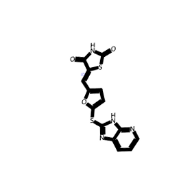 O=C1NC(=O)/C(=C/c2ccc(Sc3nc4cccnc4[nH]3)o2)S1